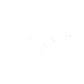 CC/C(=C\C=C(/C)F)[C@H]1C[C@H]1C(=O)N1CCN(c2cc(Cl)ccc2C)CC1